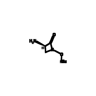 CCCCON1C[C@@H](N)C1=O